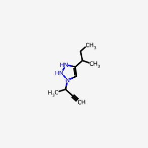 C#CC(C)N1C=C(C(C)CC)NN1